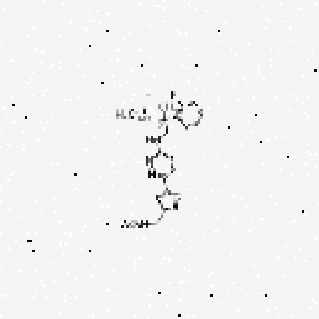 CC(=O)NCc1cnc(-c2ccc(NC[C@](C)(C[C@H](C)F)c3ncccc3F)nn2)s1